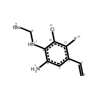 C=Cc1cc(N)c(NCC(C)(C)C)c(Cl)c1F